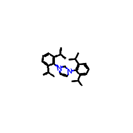 CC(C)c1cccc(C(C)C)c1N1C=CN(c2c(C(C)C)cccc2C(C)C)C1